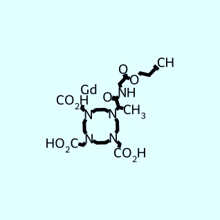 C#CCCOC(=O)CNC(=O)C(C)N1CCN(CC(=O)O)CCN(CC(=O)O)CCN(CC(=O)O)CC1.[Gd]